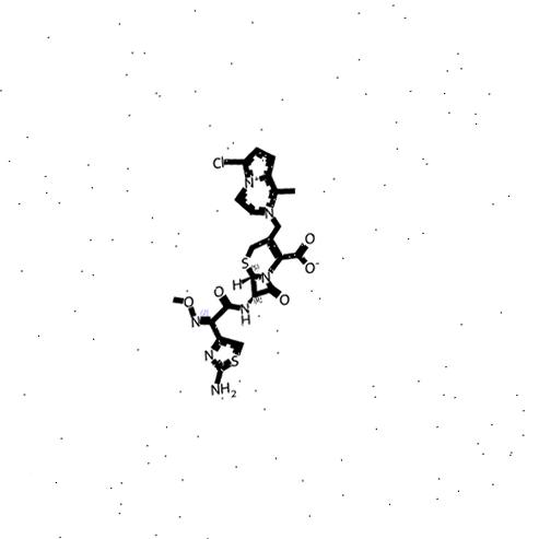 CO/N=C(\C(=O)N[C@@H]1C(=O)N2C(C(=O)[O-])=C(Cn3cc[n+]4c(Cl)ccc-4c3C)CS[C@@H]12)c1csc(N)n1